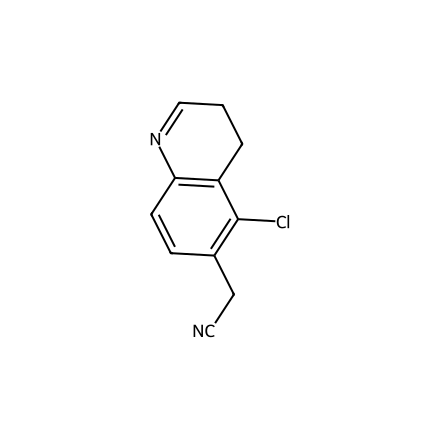 N#CCc1ccc2c(c1Cl)CCC=N2